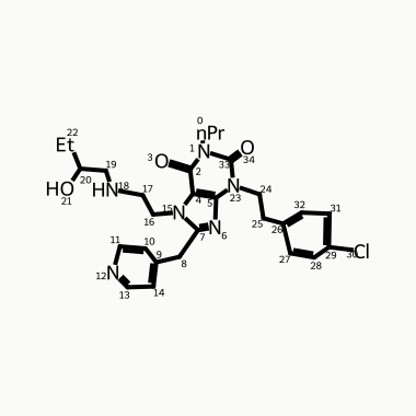 CCCn1c(=O)c2c(nc(Cc3ccncc3)n2CCNCC(O)CC)n(CCc2ccc(Cl)cc2)c1=O